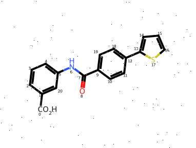 O=C(O)c1cccc(NC(=O)c2ccc(-c3cccs3)cc2)c1